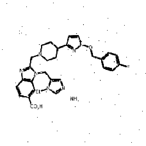 CCn1cncc1Cn1c(CN2CCC(c3ccn(OCc4ccc(F)cc4)n3)CC2)nc2ccc(C(=O)O)cc21.N